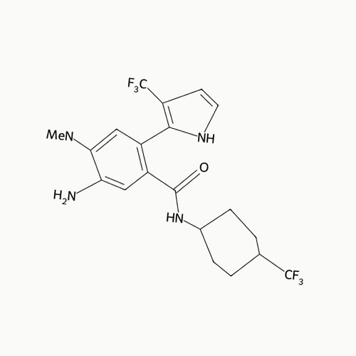 CNc1cc(-c2[nH]ccc2C(F)(F)F)c(C(=O)NC2CCC(C(F)(F)F)CC2)cc1N